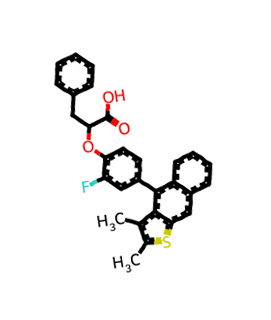 Cc1sc2cc3ccccc3c(-c3ccc(OC(Cc4ccccc4)C(=O)O)c(F)c3)c2c1C